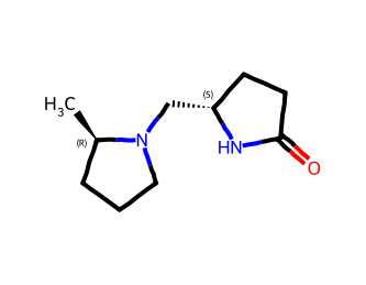 C[C@@H]1CCCN1C[C@@H]1CCC(=O)N1